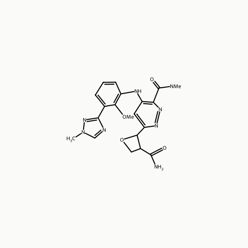 CNC(=O)c1nnc(C2OCC2C(N)=O)cc1Nc1cccc(-c2ncn(C)n2)c1OC